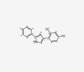 Clc1ccc(-c2c[nH]c(-c3ccncc3)n2)c(Cl)c1